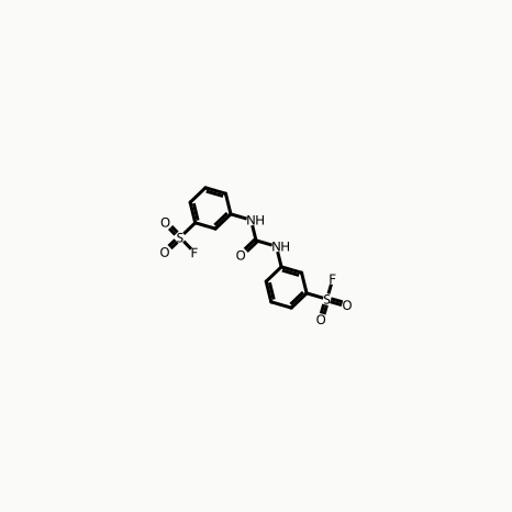 O=C(Nc1cccc(S(=O)(=O)F)c1)Nc1cccc(S(=O)(=O)F)c1